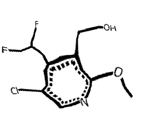 COc1ncc(Cl)c(C(F)F)c1CO